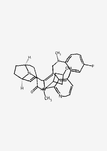 CN1Cc2c(C3=C[C@H]4CC[C@@H](C3)N4CC(=O)N(C)C3CC(O)C3)[nH]c3nccc(c23)-c2cc(F)ccc21